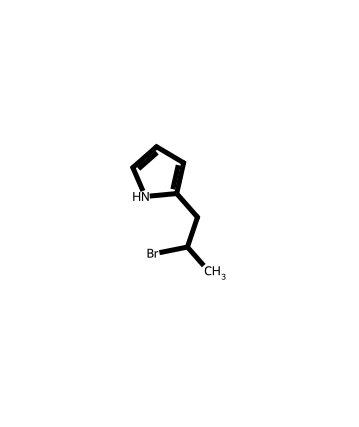 CC(Br)Cc1ccc[nH]1